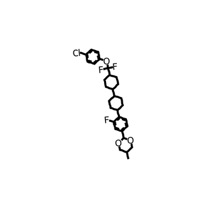 CC1COC(c2ccc(C3CCC(C4CCC(C(F)(F)Oc5ccc(Cl)cc5)CC4)CC3)c(F)c2)OC1